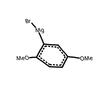 COc1ccc(OC)[c]([Mg][Br])c1